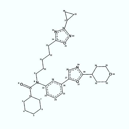 O=C(C1CCCCC1)N(CCCCCc1nc(C2CC2)no1)c1cccc(-c2cnc(C3CCOCC3)o2)c1